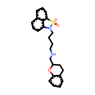 O=S1(=O)c2cccc3cccc(c23)N1CCCCNCC1CCc2ccccc2O1